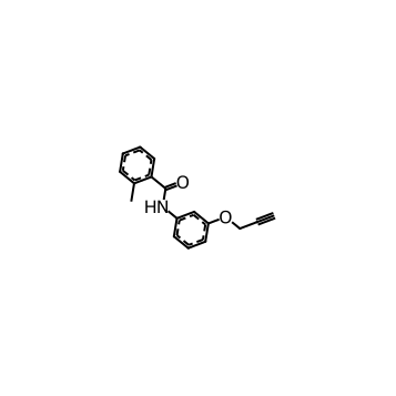 C#CCOc1cccc(NC(=O)c2ccccc2C)c1